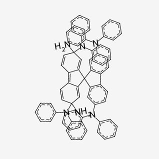 NC1(N(c2ccccc2)c2ccccc2)C=CC2=C3C=CC(N)(N(c4ccccc4)c4ccccc4)C=C3C3(C2=C1)c1cc(N(c2ccccc2)c2ccccc2)ccc1-c1ccc(N(c2ccccc2)c2ccccc2)cc13